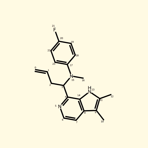 C=CCC(c1nccc2c(C)c(C)[nH]c12)N(C)c1ccc(F)cc1